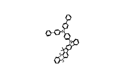 CC1(C)c2cc3c(cc2-c2ccc4c(c21)Sc1ccccc1S4)c1ccccc1n3-c1ccc(N(c2ccc(-c3ccccc3)cc2)c2ccc(-c3ccccc3)cc2)cc1